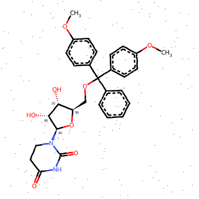 COc1ccc(C(OC[C@H]2O[C@@H](N3CCC(=O)NC3=O)[C@H](O)[C@@H]2O)(c2ccccc2)c2ccc(OC)cc2)cc1